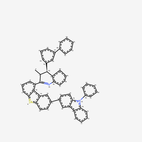 CC1C(c2cccc3sc4ccc(-c5ccc6c(c5)c5ccccc5n6-c5ccccc5)cc4c23)=Nc2ccccc2[C@@H]1c1cccc(-c2ccccc2)c1